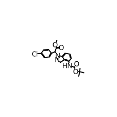 COC(=O)C(c1ccc(Cl)cc1)n1ncc2c(NC(=O)OC(C)(C)C)cccc21